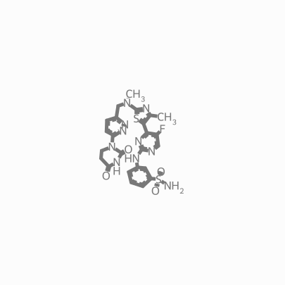 Cc1nc(N(C)Cc2ccc(N3CCC(=O)NC3=O)nn2)sc1-c1nc(Nc2cccc(S(N)(=O)=O)c2)ncc1F